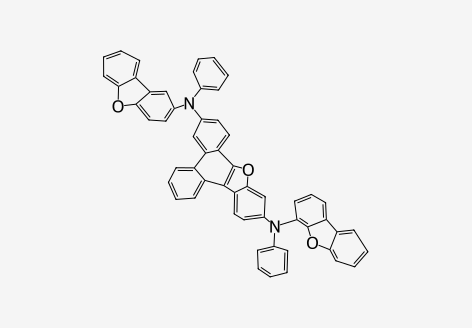 c1ccc(N(c2ccc3oc4ccccc4c3c2)c2ccc3c(c2)c2ccccc2c2c4ccc(N(c5ccccc5)c5cccc6c5oc5ccccc56)cc4oc32)cc1